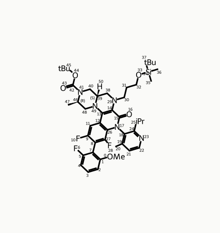 COc1cccc(F)c1-c1c(F)cc2c3c(c(=O)n(-c4c(C)ccnc4C(C)C)c2c1F)N(CCCO[Si](C)(C)C(C)(C)C)C[C@H]1CN(C(=O)OC(C)(C)C)[C@H](C)CN31